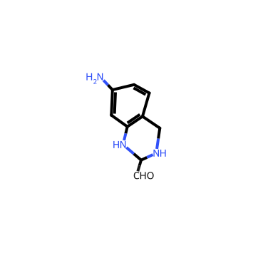 Nc1ccc2c(c1)NC(C=O)NC2